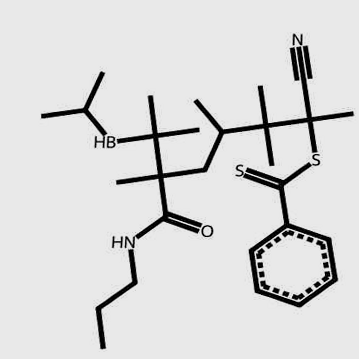 CCCNC(=O)C(C)(CC(C)C(C)(C)C(C)(C#N)SC(=S)c1ccccc1)C(C)(C)BC(C)C